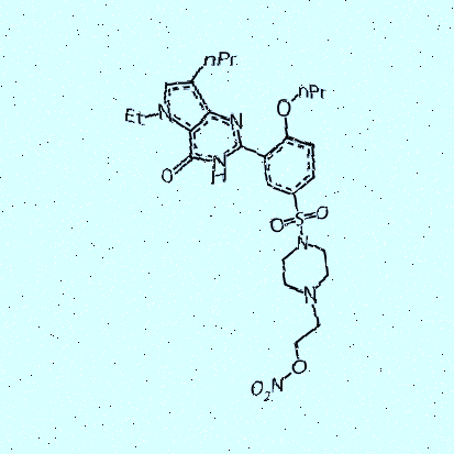 CCCOc1ccc(S(=O)(=O)N2CCN(CCO[N+](=O)[O-])CC2)cc1-c1nc2c(CCC)cn(CC)c2c(=O)[nH]1